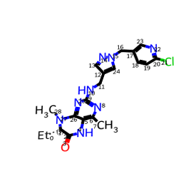 CC[C@H]1C(=O)Nc2c(C)nc(NCc3cnn(Cc4ccc(Cl)nc4)c3)nc2N1C